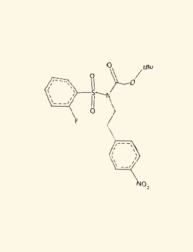 CC(C)(C)OC(=O)N(CCc1ccc([N+](=O)[O-])cc1)S(=O)(=O)c1ccccc1F